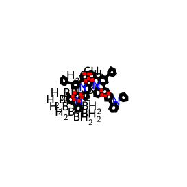 Bc1c(B)c(B)c2c(c1B)c1c(B)c(B)c(B)c(B)c1n2-c1ccc2c(c1)N(c1c(-c3ccccc3)cc(-c3ccccc3)cc1-c1ccccc1)c1cc(C(C)(C)C)cc3c1B2c1ccc(-c2ccc4c(c2)c2ccccc2n4-c2ccccc2)cc1N3c1c(-c2ccccc2)cc(-c2ccccc2)cc1-c1ccccc1